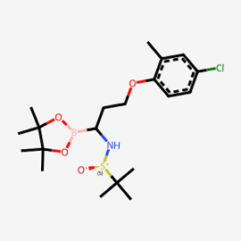 Cc1cc(Cl)ccc1OCCC(N[S@+]([O-])C(C)(C)C)B1OC(C)(C)C(C)(C)O1